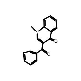 Cn1cc(C(=O)c2ccccc2)c(=O)c2ccccc21